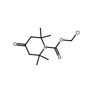 CC1(C)CC(=O)CC(C)(C)N1C(=O)OCCl